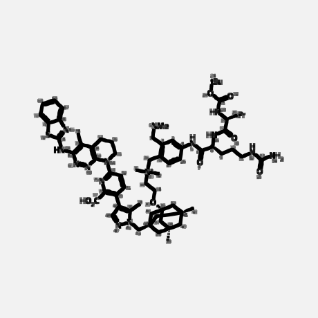 CNCc1cc(NC(=O)[C@H](CCCNC(N)=O)NC(=O)[C@@H](NC(=O)OC(C)(C)C)C(C)C)ccc1C[N+](C)(C)CCO[C@]12C[C@@]3(C)C[C@](C)(C[C@](Cn4ncc(-c5ccc(N6CCCc7c6nnc(Nc6nc8ccccc8s6)c7C)nc5C(=O)O)c4C)(C3)C1)C2